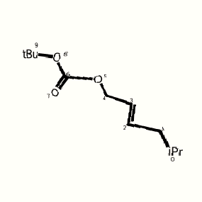 CC(C)C/C=C/COC(=O)OC(C)(C)C